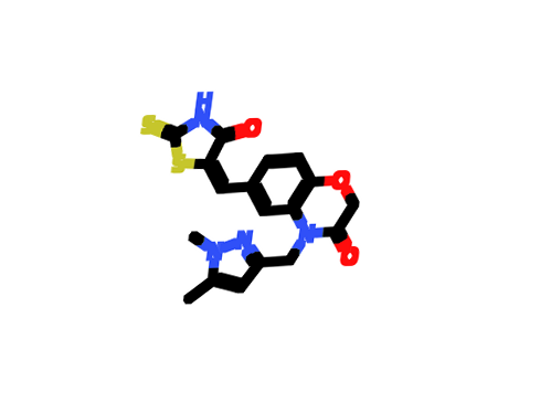 Cc1cc(CN2C(=O)COc3ccc(C=C4SC(=S)NC4=O)cc32)nn1C